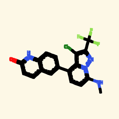 CNc1ccc(-c2ccc3[nH]c(=O)ccc3c2)c2c(Cl)c(C(F)(F)F)nn12